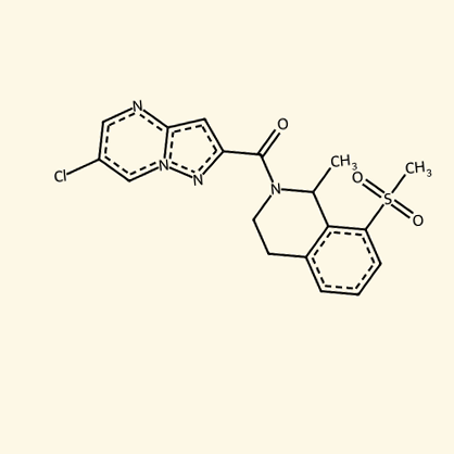 CC1c2c(cccc2S(C)(=O)=O)CCN1C(=O)c1cc2ncc(Cl)cn2n1